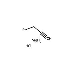 C#CCCC.Cl.[MgH2]